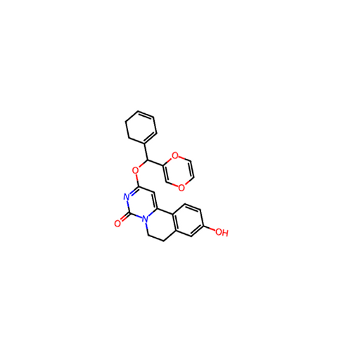 O=c1nc(OC(C2=CC=CCC2)C2=COC=CO2)cc2n1CCc1cc(O)ccc1-2